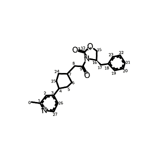 Cc1cc(C2CCC(CC(=O)N3C(=O)OC[C@H]3Cc3ccccc3)CC2)ccn1